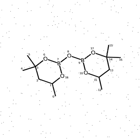 CC1CC(C)(C)OB(OB2OC(C)CC(C)(C)O2)O1